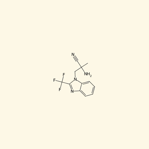 CC(N)(C#N)Cn1c(C(F)(F)F)nc2ccccc21